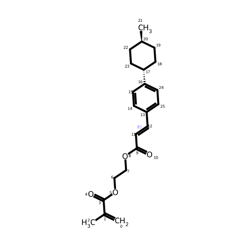 C=C(C)C(=O)OCCOC(=O)/C=C/c1ccc([C@H]2CC[C@H](C)CC2)cc1